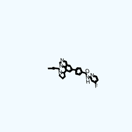 CC#CCN1CCCC1c1cc(-c2ccc(C(=O)Nc3cc(F)ccn3)cc2)cc2cncnc12